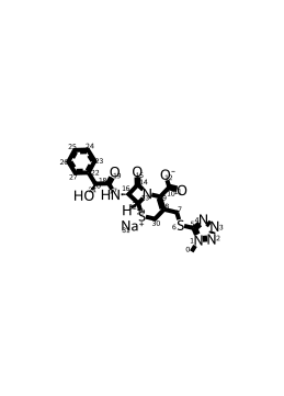 Cn1nnnc1SCC1=C(C(=O)[O-])N2C(=O)[C@@H](NC(=O)[C@@H](O)c3ccccc3)[C@H]2SC1.[Na+]